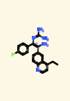 CCc1ccnc2ccc(/C(N)=C(/N=C(N)N)c3ccc(F)cc3)cc12